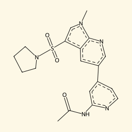 CC(=O)Nc1cc(-c2cnc3c(c2)c(S(=O)(=O)N2CCCC2)cn3C)ccn1